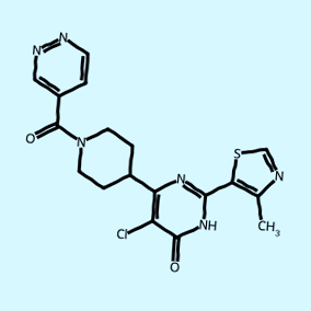 Cc1ncsc1-c1nc(C2CCN(C(=O)c3ccnnc3)CC2)c(Cl)c(=O)[nH]1